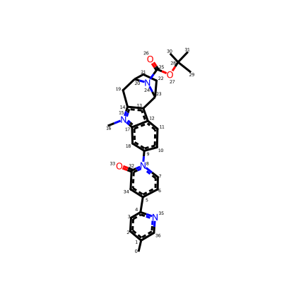 Cc1ccc(-c2ccn(-c3ccc4c5c(n(C)c4c3)CC3CCC5N3C(=O)OC(C)(C)C)c(=O)c2)nc1